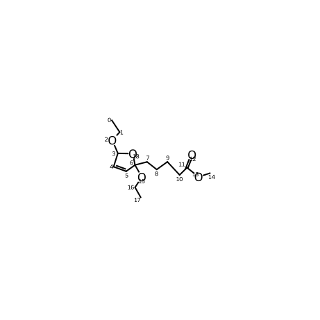 CCOC1C=CC(CCCCC(=O)OC)(OCC)O1